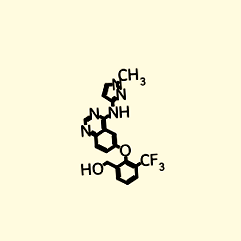 Cn1ccc(Nc2ncnc3ccc(Oc4c(CO)cccc4C(F)(F)F)cc23)n1